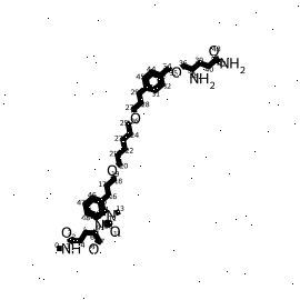 CNC(=O)CCC(C=O)n1c(=O)n(C)c2c(CCCOCCCCCCOCCCc3ccc(COC[C@@H](N)CCC(N)=O)cc3)cccc21